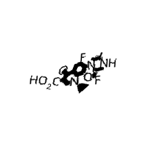 C[C@@H]1CN(c2c(F)cc3c(=O)c(C(=O)O)cn(C4CC4)c3c2OC(F)F)CCN1